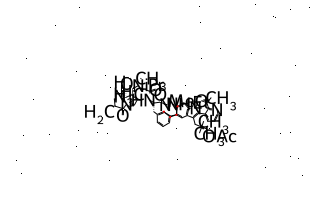 C=C1CN[C@H]2[C@@H](C(=O)N(C)[C@@](C)(C(=O)N[C@@H](Cc3cccc(-c4ccc5c(c4)c(CC(C)(C)COC(C)=O)c(-c4cccnc4[C@H](C)OC)n5CC)c3)C(=O)N3CCCCN3)C(C)C)CCN2C1=O